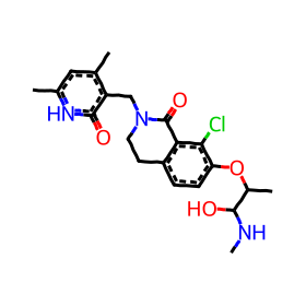 CNC(O)C(C)Oc1ccc2c(c1Cl)C(=O)N(Cc1c(C)cc(C)[nH]c1=O)CC2